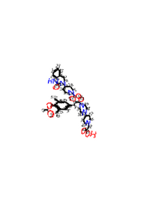 CC(=O)Oc1c(C)cc(C[C@@H](OC(=O)N2CCC(N3CCc4ccccc4NC3=O)CC2)C(=O)N2CCN(C3CCN(CC(=O)O)CC3)CC2)cc1C